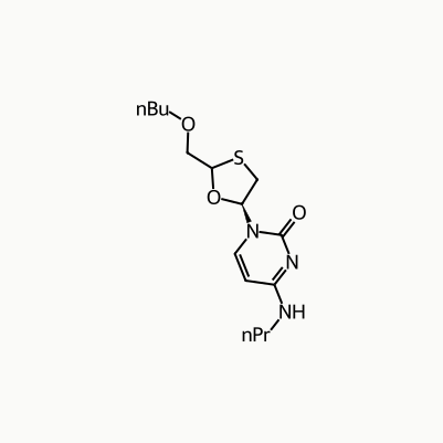 CCCCOCC1O[C@H](n2ccc(NCCC)nc2=O)CS1